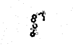 C#CCCC1(CCOc2ccc3c(c2)C[C@@H](N2CCc4nc(-c5ccccc5Cl)n(C)c4C2)CC3)N=N1